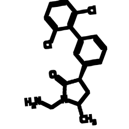 CC1C[C@H](c2cccc(-c3c(Cl)cccc3Cl)c2)C(=O)N1CN